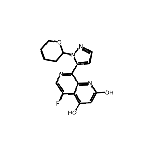 Oc1cc(O)c2c(F)cnc(-c3ccnn3C3CCCCO3)c2n1